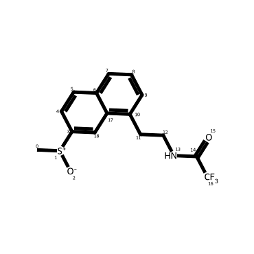 C[S+]([O-])c1ccc2cccc(CCNC(=O)C(F)(F)F)c2c1